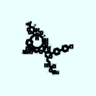 COc1ccc2cc1-c1cc(ccc1OC)[C@H](N(C)C(=O)[C@H](CCCCNC(=O)OC(C)(C)C)NC(=O)c1ccc(-c3ccc(Cl)cc3)cc1)C(=O)N[C@@H](C)C(=O)N[C@H](C(=O)N[C@@H](C)C(=O)N(C)C)C2